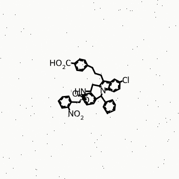 O=C(O)c1ccc(CCCc2c(CCNS(=O)(=O)Cc3ccccc3[N+](=O)[O-])n(C(c3ccccc3)c3ccccc3)c3ccc(Cl)cc23)cc1